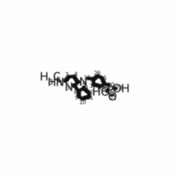 CNc1ccc2c(n1)c1ccccc1n2Cc1ccc(CP(=O)(O)O)cc1